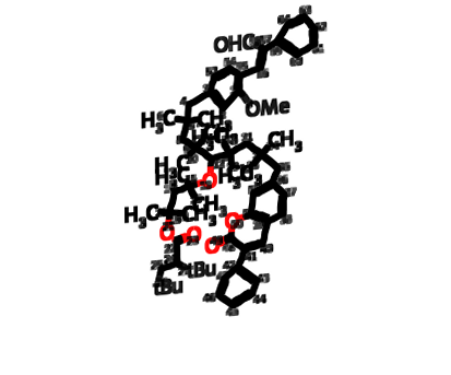 COc1cc(CC(C)(C)CC(C)(C)C(OC(C)(C)CC(C)(C)OC(=O)C(CC(C)(C)C)C(C)(C)C)C(C)(C)CC(C)(C)Cc2ccc3cc(-c4ccccc4)c(=O)oc3c2)ccc1/C=C(\C=O)c1ccccc1